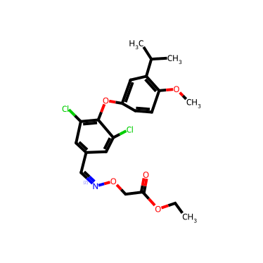 CCOC(=O)CO/N=C\c1cc(Cl)c(Oc2ccc(OC)c(C(C)C)c2)c(Cl)c1